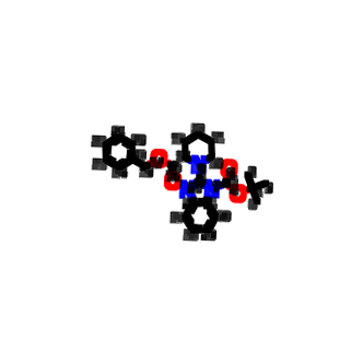 CC(C)(C)OC(=O)n1c(N2CCCC[C@H]2C(=O)OCc2ccccc2)nc2ccccc21